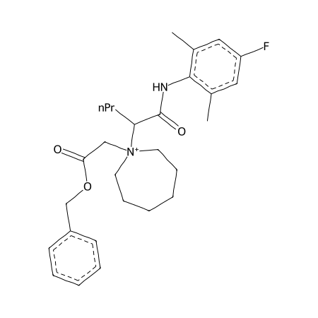 CCCC(C(=O)Nc1c(C)cc(F)cc1C)[N+]1(CC(=O)OCc2ccccc2)CCCCCC1